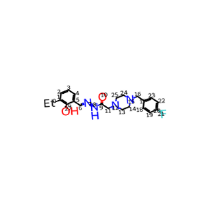 CCc1cccc(/C=N/NC(=O)CN2CCN(Cc3ccc(F)cc3)CC2)c1O